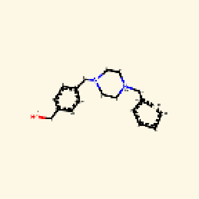 OCc1ccc(CN2CCN(Cc3ccccc3)CC2)cc1